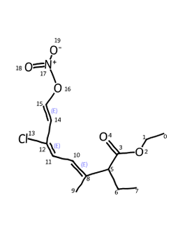 CCOC(=O)C(CC)/C(C)=C/C=C(Cl)\C=C\O[N+](=O)[O-]